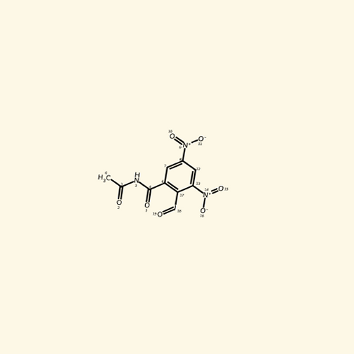 CC(=O)NC(=O)c1cc([N+](=O)[O-])cc([N+](=O)[O-])c1I=O